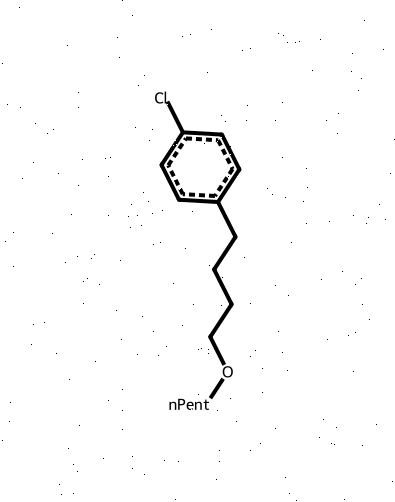 [CH2]CCCCOCCCCc1ccc(Cl)cc1